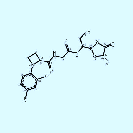 CC(C)C[C@H](NC(=O)CNC(=O)[C@@H]1CCN1c1ccc(F)cc1F)B1OC(=O)[C@H](C)O1